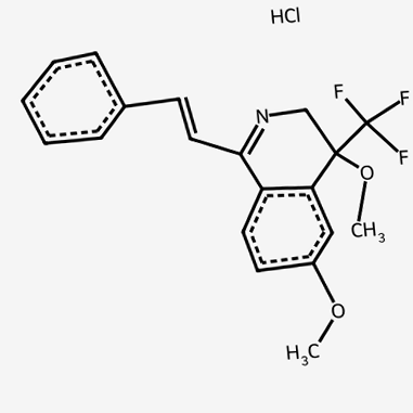 COc1ccc2c(c1)C(OC)(C(F)(F)F)CN=C2C=Cc1ccccc1.Cl